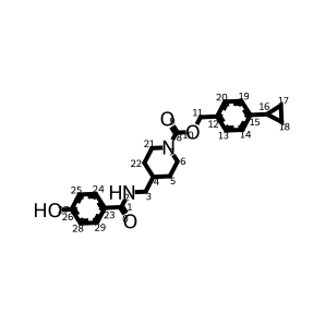 O=C(NCC1CCN(C(=O)OCc2ccc(C3CC3)cc2)CC1)c1ccc(O)cc1